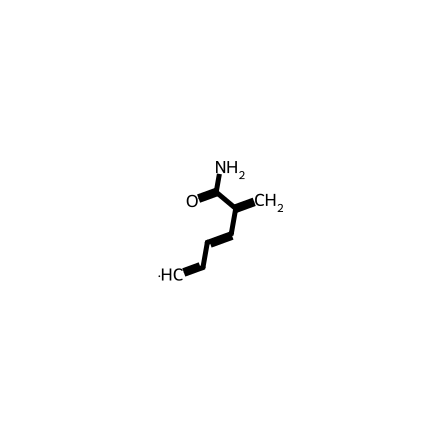 [CH]=C/C=C/C(=C)C(N)=O